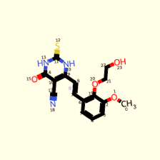 COc1cccc(/C=C/c2[nH]c(=S)[nH]c(=O)c2C#N)c1OCCO